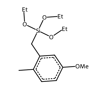 CCO[Si](Cc1cc(OC)ccc1C)(OCC)OCC